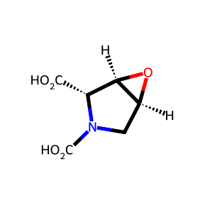 O=C(O)[C@@H]1[C@H]2O[C@H]2CN1C(=O)O